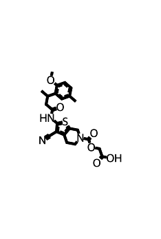 COc1ccc(C)cc1C(C)CC(=O)Nc1sc2c(c1C#N)CCN(C(=O)OCC(=O)O)C2